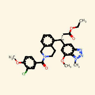 CCOC(=O)C[C@H](c1cc(OC)c2c(c1)nnn2C)c1cccc2c1CCN(C(=O)c1ccc(OC)c(Cl)c1)C2